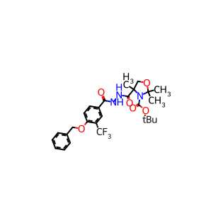 CC(C)(C)OC(=O)N1C(C)(C)OCC1(C)C(=O)NNC(=O)c1ccc(OCc2ccccc2)c(C(F)(F)F)c1